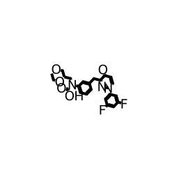 O=C(O)N(CC1COCCO1)c1cccc(Cc2nn(-c3cc(F)cc(F)c3)ccc2=O)c1